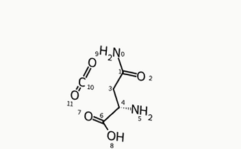 NC(=O)C[C@H](N)C(=O)O.O=C=O